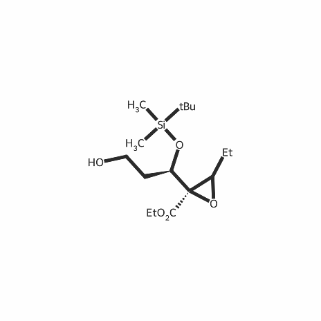 CCOC(=O)[C@@]1([C@@H](CCO)O[Si](C)(C)C(C)(C)C)OC1CC